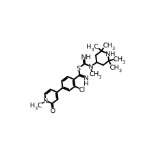 CN(C(=N)SC(=N)c1ccc(-c2ccn(C)c(=O)c2)cc1Cl)C1CC(C)(C)NC(C)(C)C1